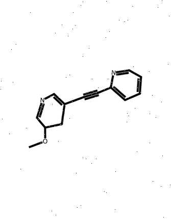 COC1C=NC=C(C#Cc2ccccn2)C1